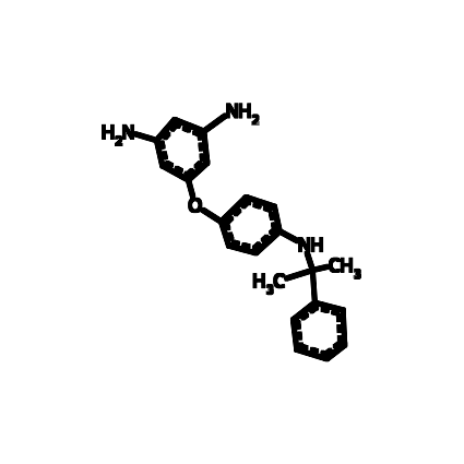 CC(C)(Nc1ccc(Oc2cc(N)cc(N)c2)cc1)c1ccccc1